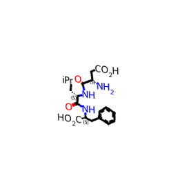 CC(C)C[C@H](NC(=O)[C@@H](N)CC(=O)O)C(=O)N[C@@H](Cc1ccccc1)C(=O)O